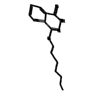 CCCCCCCCCCCCCCCCOc1n[nH]c(=O)c2ccccc12